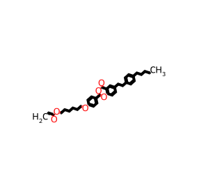 C=CC(=O)OCCCCCCOc1ccc(C(=O)Oc2ccc(CCc3ccc(CCCCC)cc3)cc2C=O)cc1